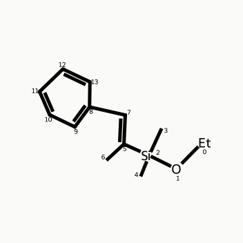 CCO[Si](C)(C)/C(C)=C/c1ccccc1